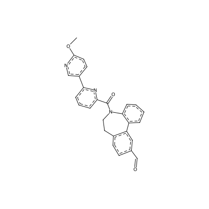 COc1ccc(-c2cccc(C(=O)N3CCc4ccc(C=O)cc4-c4ccccc43)n2)cn1